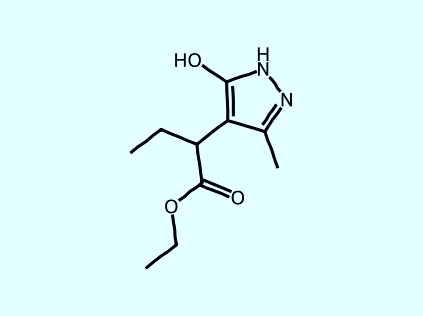 CCOC(=O)C(CC)c1c(C)n[nH]c1O